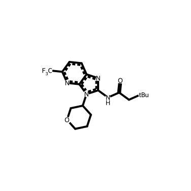 CC(C)(C)CC(=O)Nc1nc2ccc(C(F)(F)F)nc2n1C1CCCOC1